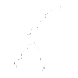 C=CCCCCC(CCCCC=C)OC(=O)CCCCCCC(=O)O